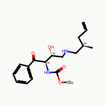 C=CC[C@@H](C)CNC[C@@H](O)[C@@H](NC(=O)OC(C)(C)C)C(=O)c1ccccc1